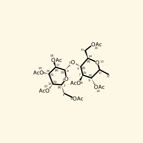 CC(=O)OC[C@H]1O[C@@H](O[C@H]2[C@H](OC(C)=O)[C@@H](OC(C)=O)C(C)O[C@@H]2COC(C)=O)[C@H](OC(C)=O)[C@@H](OC(C)=O)[C@H]1OC(C)=O